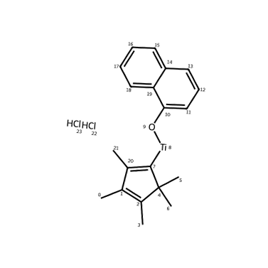 CC1=C(C)C(C)(C)[C]([Ti][O]c2cccc3ccccc23)=C1C.Cl.Cl